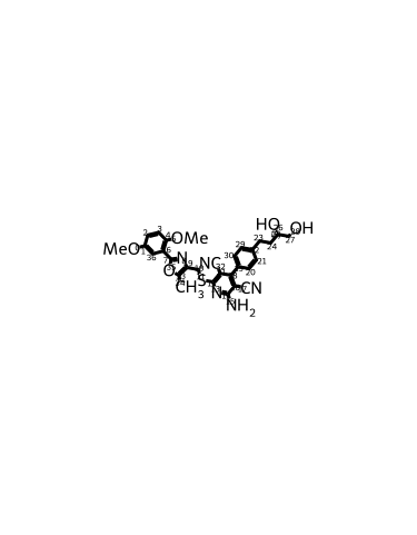 COc1ccc(OC)c(-c2nc(CSc3nc(N)c(C#N)c(-c4ccc(CC[C@H](O)CO)cc4)c3C#N)c(C)o2)c1